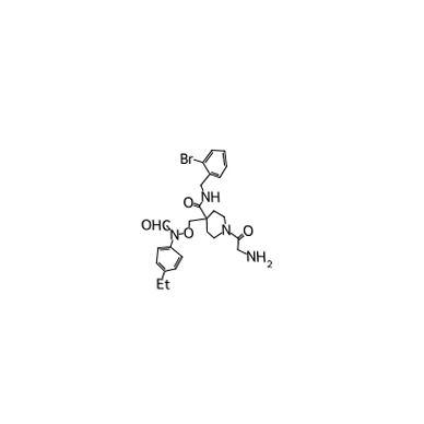 CCc1ccc(N(C=O)OCC2(C(=O)NCc3ccccc3Br)CCN(C(=O)CN)CC2)cc1